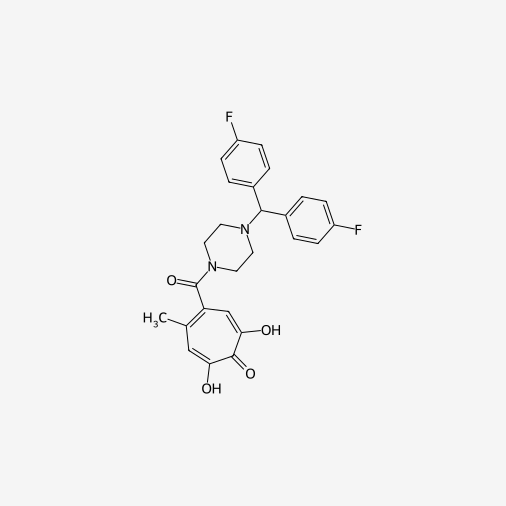 Cc1cc(O)c(=O)c(O)cc1C(=O)N1CCN(C(c2ccc(F)cc2)c2ccc(F)cc2)CC1